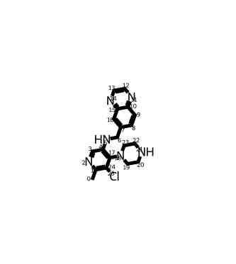 Cc1ncc(NCc2ccc3nccnc3c2)c(N2CCNCC2)c1Cl